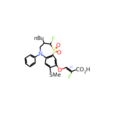 CCCCC1CN(c2ccccc2)c2cc(SC)c(O/C=C(\F)C(=O)O)cc2S(=O)(=O)C1F